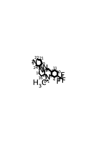 CCN(c1cc(C(F)(F)F)ccc1C#N)C1CCN(c2cccnc2)C1